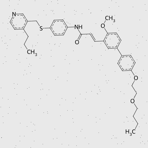 CCCCOCCOc1ccc(-c2ccc(OC)c(/C=C/C(=O)Nc3ccc(SCc4cnccc4CCC)cc3)c2)cc1